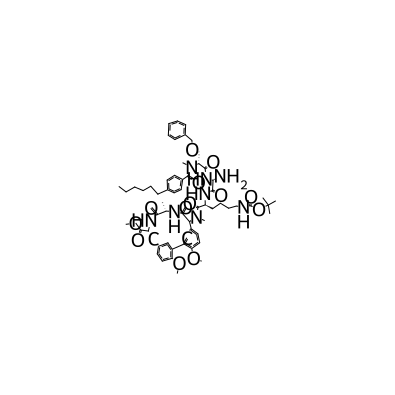 CCCCCCc1ccc(C(=O)N(C)[C@H](COCc2ccccc2)C(=O)N[C@H](N)C(=O)N[C@@H](CCCCNC(=O)OC(C)(C)C)C(=O)N(C)[C@@H]2C(=O)N[C@@H](C)C(=O)NC(C(=O)OC)Cc3ccc(OC)c(c3)-c3cc2ccc3OC)cc1